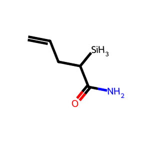 C=CCC([SiH3])C(N)=O